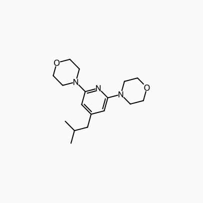 CC(C)Cc1cc(N2CCOCC2)nc(N2CCOCC2)c1